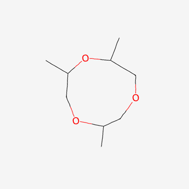 CC1COCC(C)OC(C)CO1